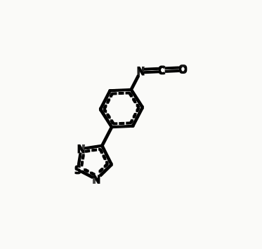 O=C=Nc1ccc(-c2cnsn2)cc1